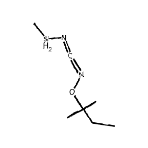 CCC(C)(C)ON=C=N[SiH2]C